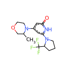 CC1COCCN1c1cc(N2CCCC2C(F)(F)F)[nH]c(=O)c1